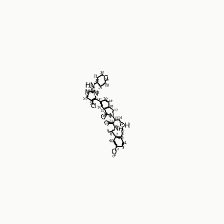 COc1ccc(F)c(C(C)NC(=O)C(CO)N2Cc3ccc(-c4nc(NC5CCOCC5)ncc4Cl)cc3C2=O)c1